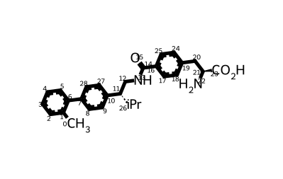 Cc1ccccc1-c1ccc([C@H](CNC(=O)c2ccc(C[C@H](N)C(=O)O)cc2)C(C)C)cc1